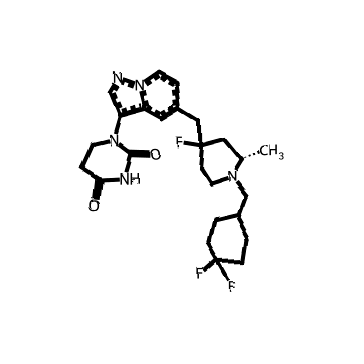 C[C@H]1CC(F)(Cc2ccn3ncc(N4CCC(=O)NC4=O)c3c2)CCN1CC1CCC(F)(F)CC1